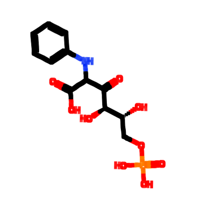 O=C(O)C(Nc1ccccc1)C(=O)[C@H](O)[C@H](O)COP(=O)(O)O